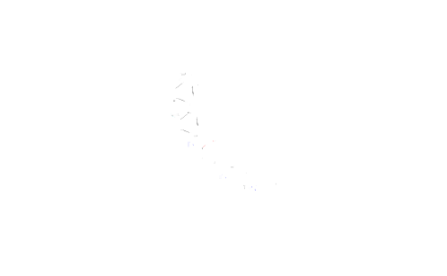 O=C(CCCN1CCC(N2CCCCC2)CC1)Nc1ccc(-c2ccc(C(F)(F)F)cc2)c(F)c1